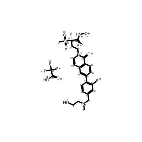 CN(CCO)Cc1ccc(-c2ccc3c(=O)n(CC[C@](C)(C(=O)NO)S(C)(=O)=O)ccc3c2)c(F)c1.O=C(O)C(F)(F)F